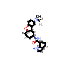 CN(C)c1ccc2c(c1)C1=CC(NC(=O)c3cccc4cc[nH]c34)=CC=CC1O2